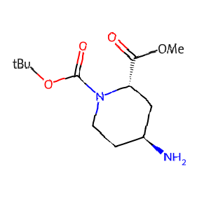 COC(=O)[C@@H]1C[C@@H](N)CCN1C(=O)OC(C)(C)C